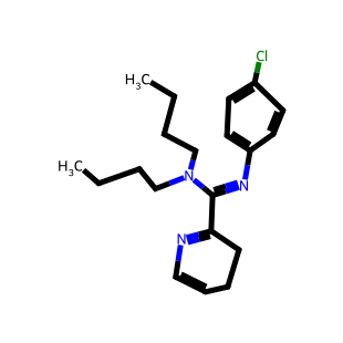 CCCCN(CCCC)C(=Nc1ccc(Cl)cc1)C1=NC=CCC1